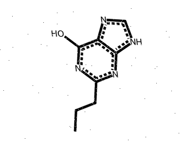 CCCc1nc(O)c2nc[nH]c2n1